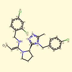 Cc1nnc([C@H]2CCCN2/C(=C/[N+](=O)[O-])NCc2ccc(Cl)cc2Cl)n1Cc1ccc(Cl)cc1